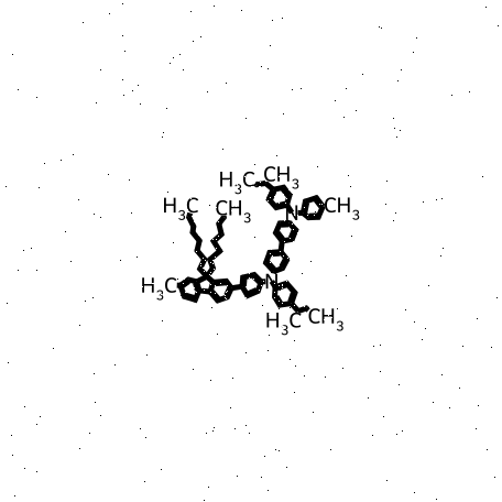 CCCCCCCCC1(CCCCCCCC)c2cc(C)ccc2-c2ccc(-c3ccc(N(c4ccc(-c5ccc(N(c6ccc(C)cc6)c6ccc(C(C)CC)cc6)cc5)cc4)c4ccc(C(C)CC)cc4)cc3)cc21